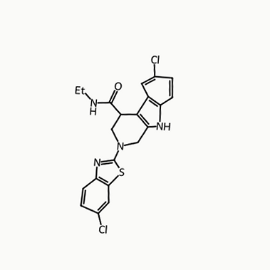 CCNC(=O)C1CN(c2nc3ccc(Cl)cc3s2)Cc2[nH]c3ccc(Cl)cc3c21